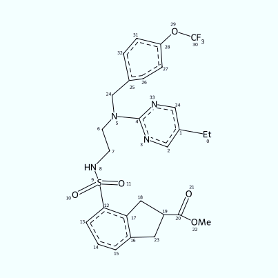 CCc1cnc(N(CCNS(=O)(=O)c2cccc3c2CC(C(=O)OC)C3)Cc2ccc(OC(F)(F)F)cc2)nc1